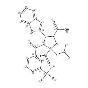 CC(C)CC1(C(=O)O)CC(C(=O)O)C(c2cc3ccccc3o2)N1C(=O)c1cccc(C(F)(F)F)c1